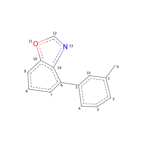 Cc1cccc(-c2cccc3ocnc23)c1